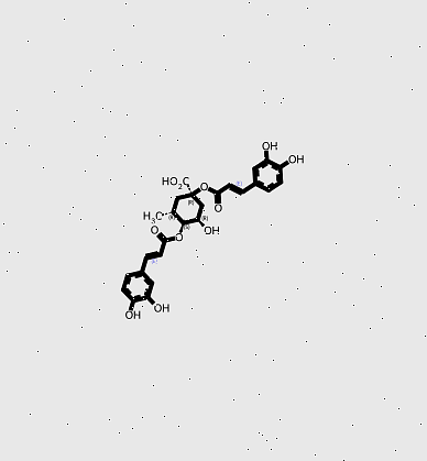 C[C@@H]1C[C@](OC(=O)/C=C/c2ccc(O)c(O)c2)(C(=O)O)C[C@@H](O)[C@H]1OC(=O)/C=C/c1ccc(O)c(O)c1